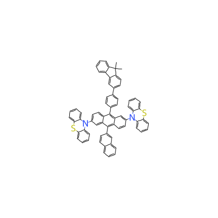 CC1(C)c2ccccc2-c2cc(-c3ccc(-c4c5ccc(N6c7ccccc7Sc7ccccc76)cc5c(-c5ccc6ccccc6c5)c5ccc(N6c7ccccc7Sc7ccccc76)cc45)cc3)ccc21